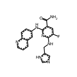 NC(=O)c1cc(F)c(NCc2cnc[nH]2)nc1Nc1ccc2ncccc2c1